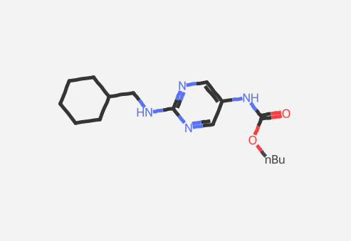 CCCCOC(=O)Nc1cnc(NCC2CCCCC2)nc1